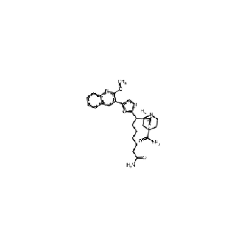 COc1nc2ccccc2cc1-c1cnc(C(CCCCCC(N)=O)[C@@H]2CC3(C(N)=O)CCN2CC3)o1